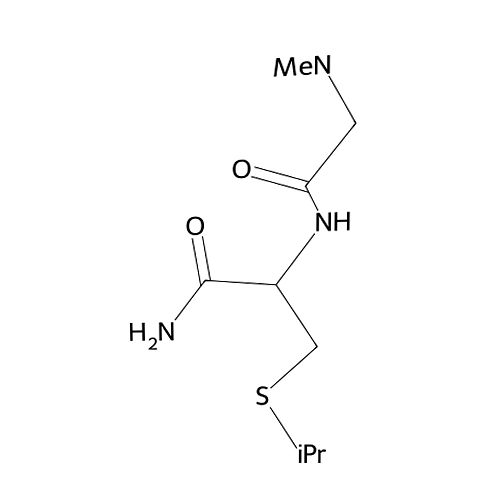 CNCC(=O)NC(CSC(C)C)C(N)=O